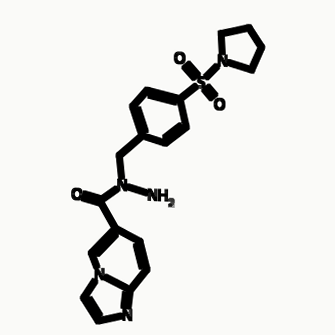 NN(Cc1ccc(S(=O)(=O)N2CCCC2)cc1)C(=O)c1ccc2nccn2c1